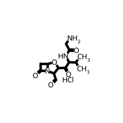 CC(C)C(NC(=O)CN)C(=O)C1OC2CC(=O)N2C1C=O.Cl